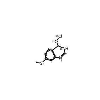 CSc1ccc2c(c1)N=CNC2OCl